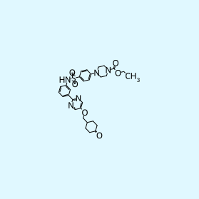 CCOC(=O)N1CCN(c2ccc(S(=O)(=O)Nc3cccc(-c4ncc(OCC5CCC(=O)CC5)cn4)c3)cc2)CC1